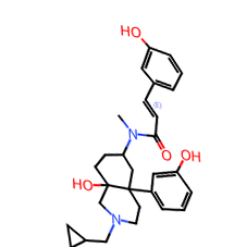 CN(C(=O)/C=C/c1cccc(O)c1)C1CCC2(O)CN(CC3CC3)CCC2(c2cccc(O)c2)C1